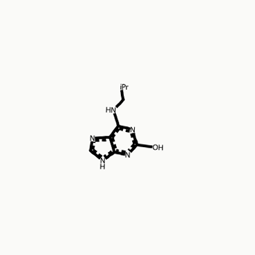 CC(C)CNc1nc(O)nc2[nH]cnc12